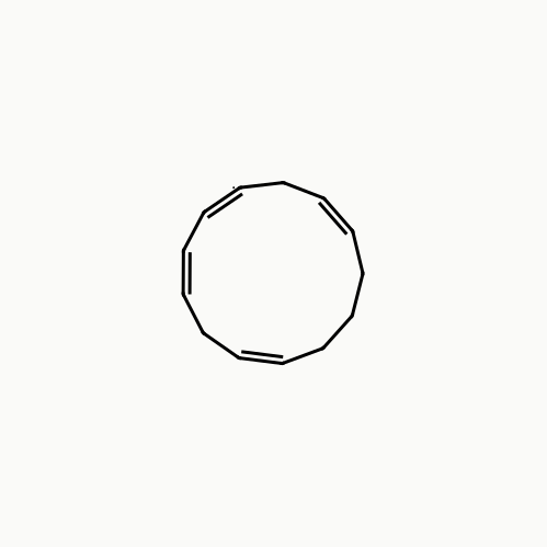 [C]1=CC=CCC=CCCCC=CC1